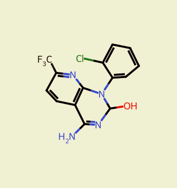 NC1=NC(O)N(c2ccccc2Cl)c2nc(C(F)(F)F)ccc21